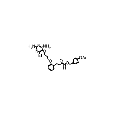 CCc1nc(N)nc(N)c1OCCCOc1ccccc1CCC(=O)NOCc1ccc(OC(C)=O)cc1